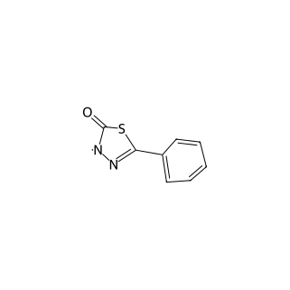 O=C1[N]N=C(c2ccccc2)S1